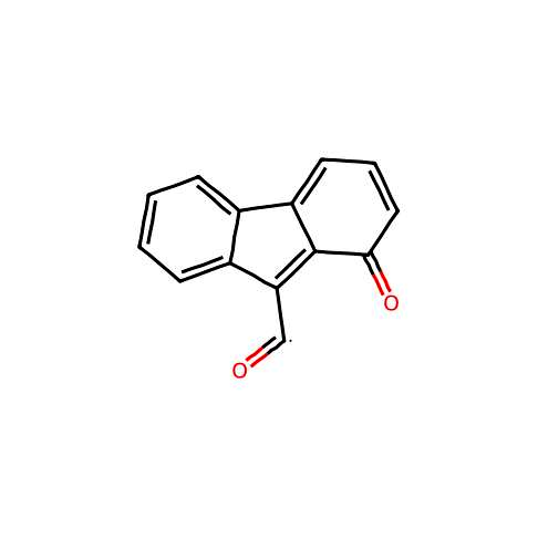 O=[C]C1=C2C(=O)C=CC=C2c2ccccc21